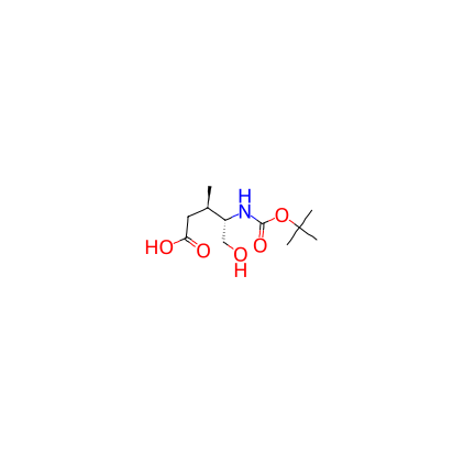 C[C@H](CC(=O)O)[C@@H](CO)NC(=O)OC(C)(C)C